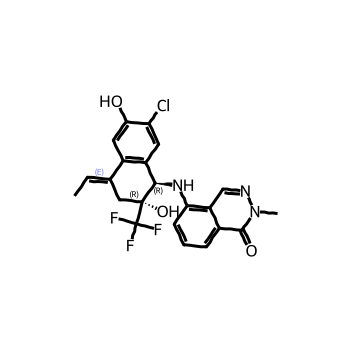 C/C=C1\C[C@](O)(C(F)(F)F)[C@H](Nc2cccc3c(=O)n(C)ncc23)c2cc(Cl)c(O)cc21